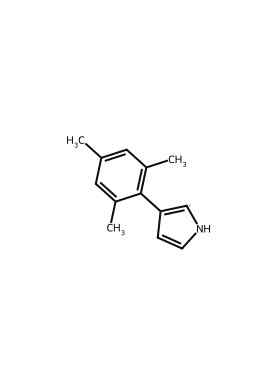 Cc1cc(C)c(-c2[c][nH]cc2)c(C)c1